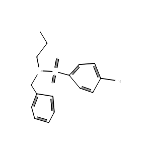 CCCN(Cc1ccccc1)S(=O)(=O)c1ccc(Br)cc1